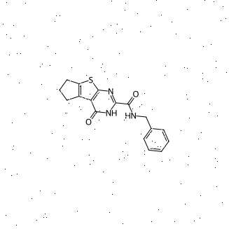 O=C(NCc1ccccc1)c1nc2sc3c(c2c(=O)[nH]1)CCC3